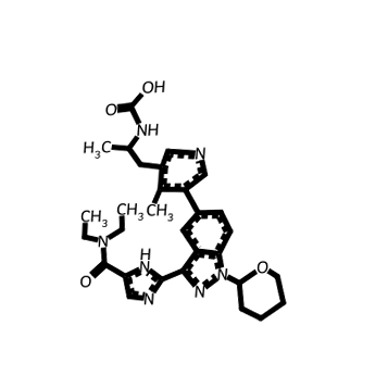 CCN(CC)C(=O)c1cnc(-c2nn(C3CCCCO3)c3ccc(-c4cncc(CC(C)NC(=O)O)c4C)cc23)[nH]1